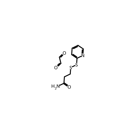 NC(=O)CCSSc1ccccn1.O=CC=O